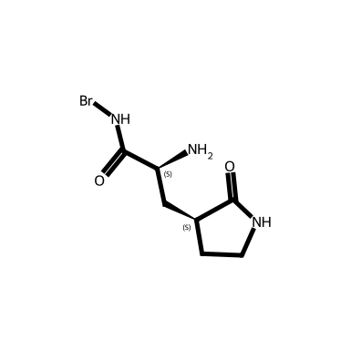 N[C@@H](C[C@@H]1CCNC1=O)C(=O)NBr